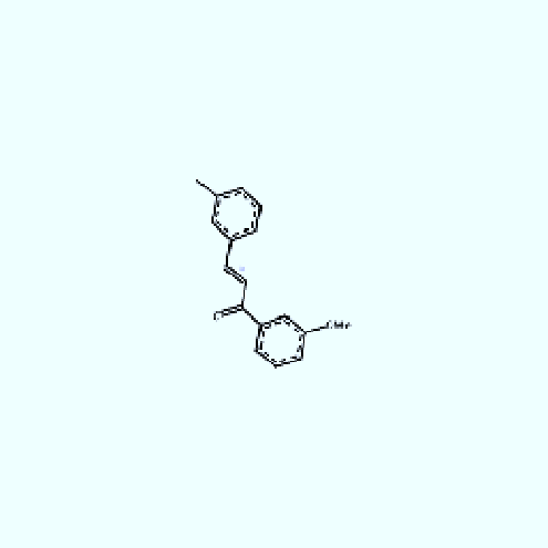 COc1cccc(C(=O)/C=C/c2cccc(C)c2)c1